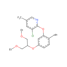 [CH2]CCc1ccc(OC(COCC)COCC)cc1Oc1ncc(C(F)(F)F)cc1Cl